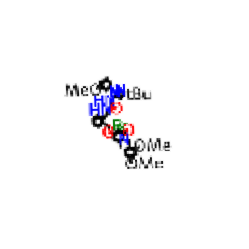 COc1cccc(-n2nc(C(C)(C)C)cc2NC(=O)NCc2ccccc2COc2cc(C)n(Cc3ccc(OC)cc3OC)c(=O)c2Br)c1